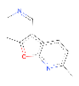 C/N=C\c1c(C)oc2nc(C)ccc12